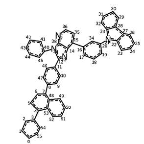 c1ccc(-c2ccc(-c3ccc(-c4nc5c(-c6cccc(-n7c8ccccc8c8ccccc87)c6)ccnc5n4-c4ccccc4)cc3)c3ccccc23)cc1